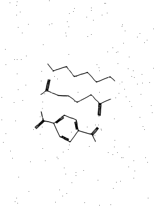 O=C(O)CCCCC(=O)O.O=C(O)c1ccc(C(=O)O)cc1.OCCCCCCO